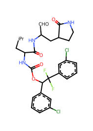 CC(C)CC(NC(=O)OC(c1cccc(Cl)c1)C(F)(F)c1cccc(Cl)c1)C(=O)NC(C=O)CC1CCNC1=O